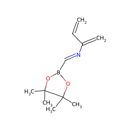 C=CC(=C)N=CB1OC(C)(C)C(C)(C)O1